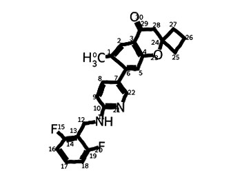 Cc1cc2c(cc1-c1ccc(NCc3c(F)cccc3F)nc1)OC1(CCC1)CC2=O